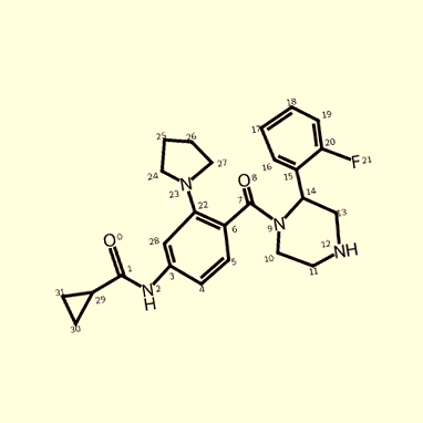 O=C(Nc1ccc(C(=O)N2CCNCC2c2ccccc2F)c(N2CCCC2)c1)C1CC1